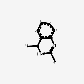 CC1=Nc2ccccc2C(C)N1